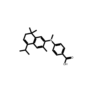 Cc1cc2c(cc1N(C)c1ccc(C(=O)O)cc1)C(C)(C)CC=C2C(C)C